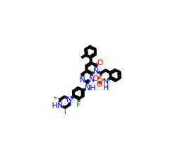 Cc1ccccc1-c1cc2cnc(Nc3ccc(N4C[C@@H](C)N[C@@H](C)C4)c(F)c3)nc2n(C2Cc3ccccc3NS2(=O)=O)c1=O